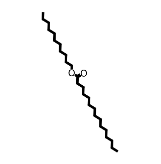 CCCCCCCCCCCCCCC(=O)OCCCCCCCCCCC